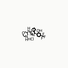 Cl.Oc1cc(C(F)(F)F)ccc1-c1nnc(NC2CNCCOC2)n2cccc12